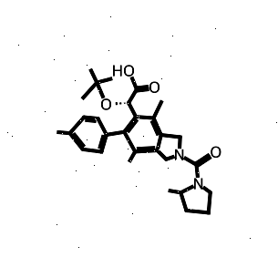 Cc1ccc(-c2c(C)c3c(c(C)c2[C@H](OC(C)(C)C)C(=O)O)CN(C(=O)N2CCCC2C)C3)cc1